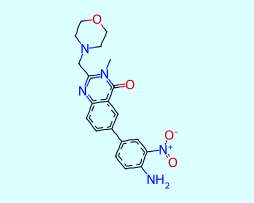 Cn1c(CN2CCOCC2)nc2ccc(-c3ccc(N)c([N+](=O)[O-])c3)cc2c1=O